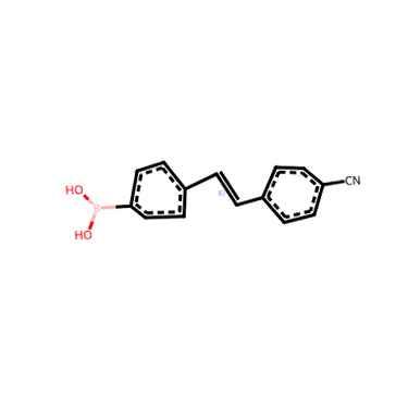 N#Cc1ccc(/C=C/c2ccc(B(O)O)cc2)cc1